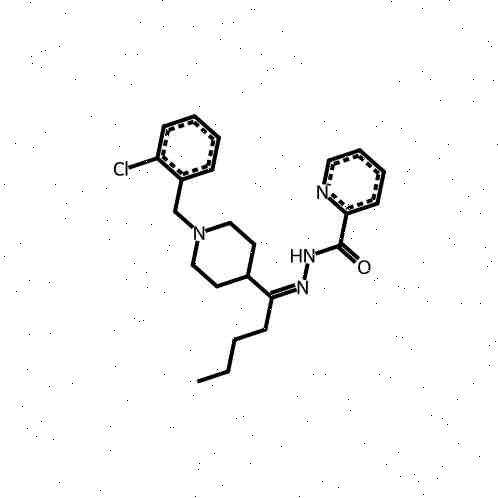 CCCCC(=NNC(=O)c1ccccn1)C1CCN(Cc2ccccc2Cl)CC1